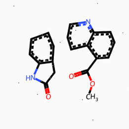 COC(=O)c1cccc2ncccc12.O=C1Cc2ccccc2N1